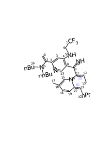 C=C(c1cc(NCC(F)(F)F)c(C(=N)/C(=C/C)N2C=C(C)C=C/C2=C\CCC)cn1)N(CCCC)CCCC